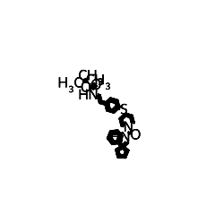 CC(C)(C)OC(=O)NCCc1ccc(SC2CCN(C(=O)NCC3(c4ccccc4)CCCC3)CC2)cc1